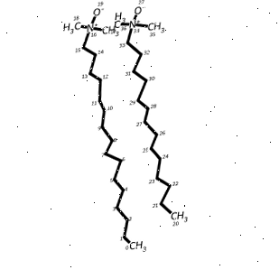 CCCCCCCCCCCCCCCC[N+](C)(C)[O-].CCCCCCCCCCCCCC[N+](C)(C)[O-]